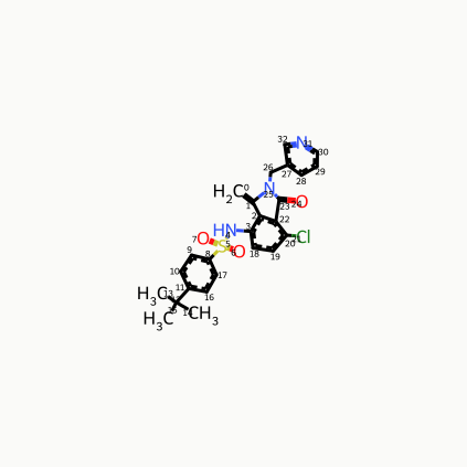 C=C1c2c(NS(=O)(=O)c3ccc(C(C)(C)C)cc3)ccc(Cl)c2C(=O)N1Cc1cccnc1